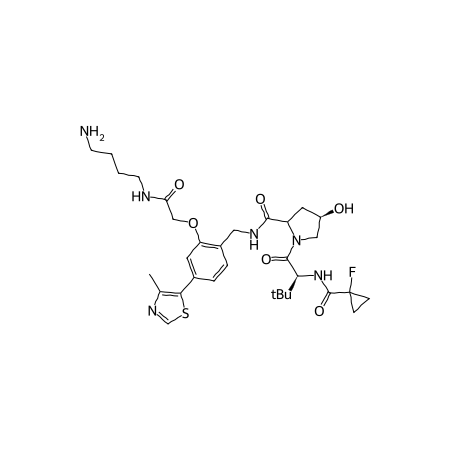 Cc1ncsc1-c1ccc(CNC(=O)C2C[C@@H](O)CN2C(=O)[C@@H](NC(=O)C2(F)CC2)C(C)(C)C)c(OCC(=O)NCCCCN)c1